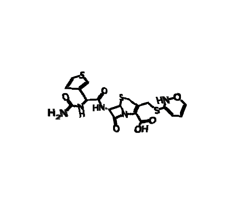 NC(=O)NC(C(=O)N[C@H]1C(=O)N2C(C(=O)O)=C(CSC3=CC=CON3)CSC12)c1ccsc1